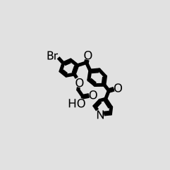 O=C(O)COc1ccc(Br)cc1C(=O)c1ccc(C(=O)c2ccncc2)cc1